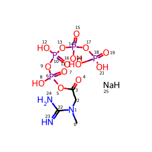 CN(CC(=O)OP(=O)(O)OP(=O)(O)OP(=O)(O)OP(=O)(O)O)C(=N)N.[NaH]